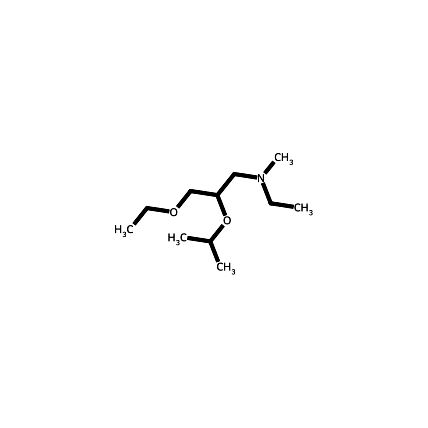 CCOCC(CN(C)CC)OC(C)C